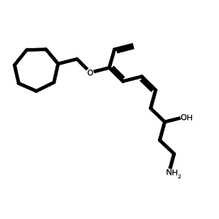 C=C/C(=C\C=C/CC(O)CCN)OCC1CCCCCC1